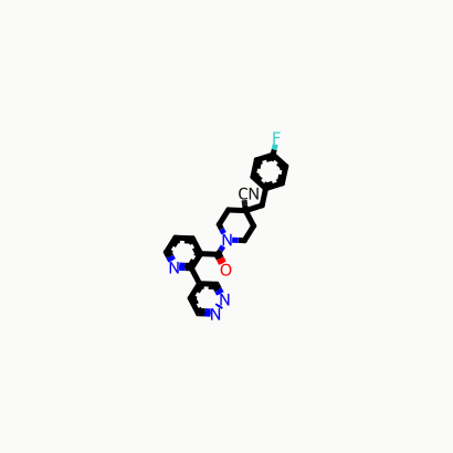 N#CC1(Cc2ccc(F)cc2)CCN(C(=O)c2cccnc2-c2ccnnc2)CC1